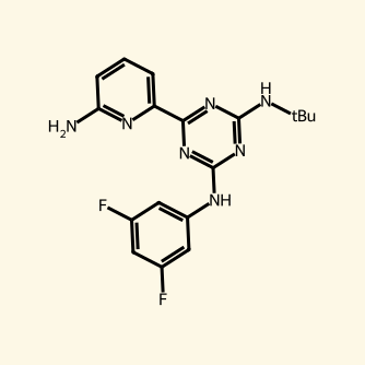 CC(C)(C)Nc1nc(Nc2cc(F)cc(F)c2)nc(-c2cccc(N)n2)n1